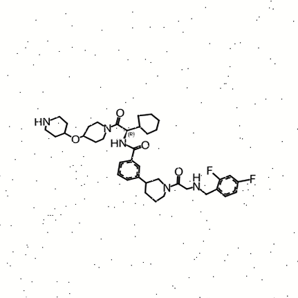 O=C(N[C@@H](C(=O)N1CCC(OC2CCNCC2)CC1)C1CCCCC1)c1cccc(C2CCCN(C(=O)CNCc3ccc(F)cc3F)C2)c1